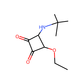 CCOC1C(=O)C(=O)C1NC(C)(C)C